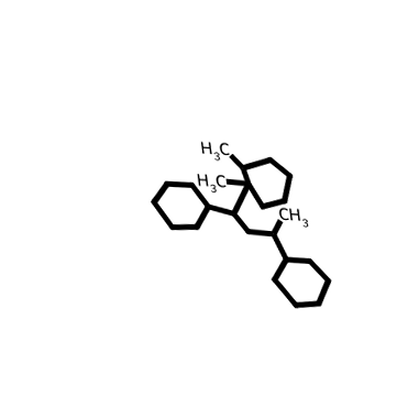 CC(CC(C1CCCCC1)C1(C)CCCCC1C)C1CCCCC1